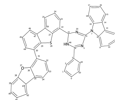 c1ccc(C2=NC(n3c4ccccc4c4ccccc43)=NC(c3cccc4c3sc3c(-c5cccc6c5oc5ccccc56)cccc34)N2)cc1